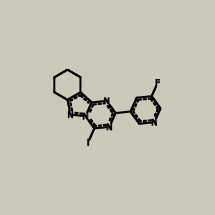 Fc1cncc(-c2nc(I)n3nc4c(c3n2)CCCC4)c1